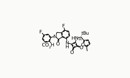 Cc1ccc([C@H](Nc2c(Nc3ccc(F)c4c3C(=O)N(c3cc(F)ccc3C(=O)O)C4)c(=O)c2=O)C(C)(C)C)o1